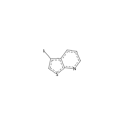 Ic1csc2ncccc12